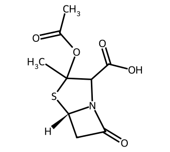 CC(=O)OC1(C)S[C@H]2CC(=O)N2C1C(=O)O